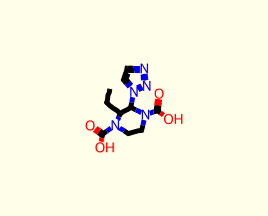 CCC1C(n2ccnn2)N(C(=O)O)CCN1C(=O)O